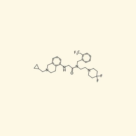 O=C(CNc1cccc2c1CCN(CC1CC1)C2)N(CCN1CCC(F)(F)CC1)Cc1ccccc1C(F)(F)F